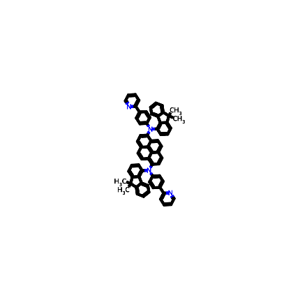 CC1(C)c2ccccc2-c2c(N(c3ccc(-c4ccccn4)cc3)c3ccc4ccc5c(N(c6ccc(-c7ccccn7)cc6)c6cccc7c6-c6ccccc6C7(C)C)ccc6ccc3c4c65)cccc21